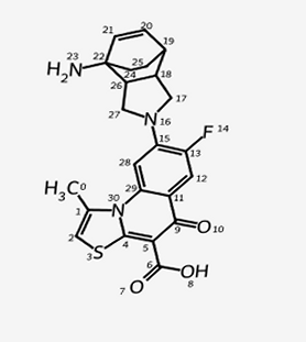 Cc1csc2c(C(=O)O)c(=O)c3cc(F)c(N4CC5C6C=CC(N)(CC6)C5C4)cc3n12